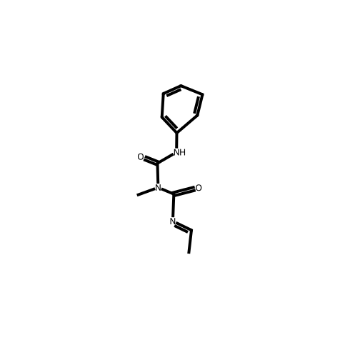 CC=NC(=O)N(C)C(=O)Nc1ccccc1